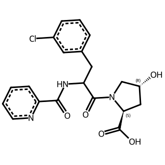 O=C(NC(Cc1cccc(Cl)c1)C(=O)N1C[C@H](O)C[C@H]1C(=O)O)c1ccccn1